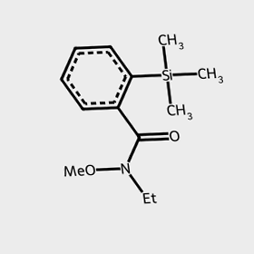 CCN(OC)C(=O)c1ccccc1[Si](C)(C)C